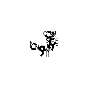 CCc1cc(N2CCCN(C)CC2)ccc1Nc1ncc(C(F)(F)F)c(-c2cc3c(s2)COCCS3(=O)=O)n1